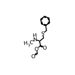 CNC(CSCc1ccccc1)C(=O)OC=O